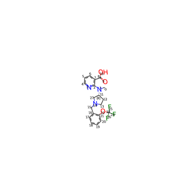 CN(c1ncccc1C(=O)O)[C@@H]1CCN(Cc2ccccc2OC(F)(F)F)C1